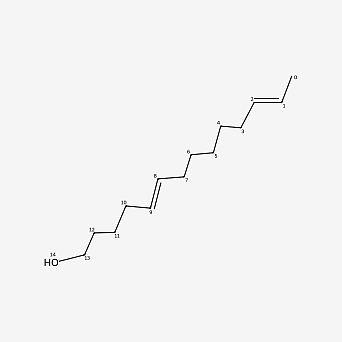 CC=CCCCCCC=CCCCCO